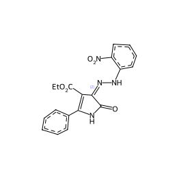 CCOC(=O)C1=C(c2ccccc2)NC(=O)/C1=N\Nc1ccccc1[N+](=O)[O-]